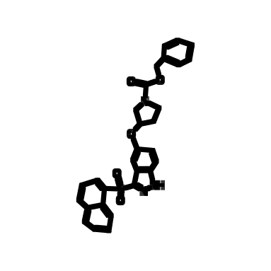 O=C(OCc1ccccc1)N1CCC(Oc2ccc3[nH]nc(S(=O)(=O)c4cccc5ccccc45)c3c2)C1